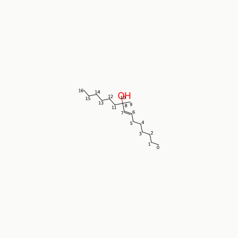 CCCCCCC=CC(C)(O)CCCCCC